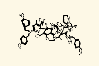 COc1ccc(CNc2nccnc2[C@@H](C)N2CCOc3c(Cl)c(-c4nc(N(Cc5ccc(OC)cc5)Cc5ccc(OC)cc5)cc(C)c4C(F)(F)F)c(F)c4nc(OC[C@]56CCCN5CC(F)(F)C6)nc2c34)cc1